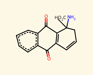 NC1(C(=O)O)CC=CC2=C1C(=O)c1ccccc1C2=O